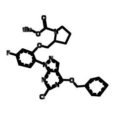 CC(C)(C)OC(=O)N1CCCC1COc1cc(F)ccc1-n1ncc2c(OCc3ccccc3)nc(Cl)nc21